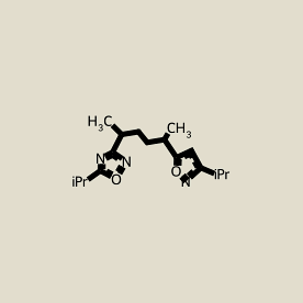 CC(C)c1cc(C(C)CCC(C)c2noc(C(C)C)n2)on1